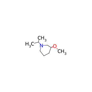 CO[C@H]1CCCN(C(C)C)C1